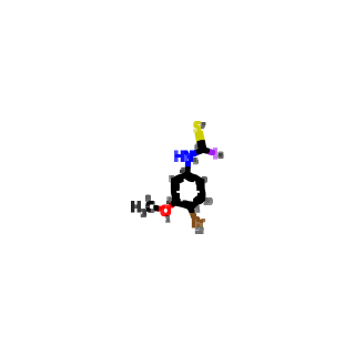 COc1cc(NC(=S)I)ccc1Br